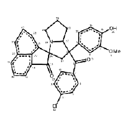 COc1cc(C2(C(=O)c3ccc(Cl)cc3)CC3(C(=O)c4cccc5cccc3c45)N3CCCC32)ccc1O